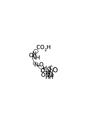 COc1cc(CC(=O)N2CCC(CNC(=O)N3CCC(C(=O)O)CC3)C2)ccc1NC(=O)Nc1ccccc1C